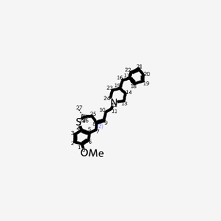 COc1ccc2c(c1)C/C(=C/CCN1CCC(Cc3ccccc3)CC1)C[C@@H](C)S2